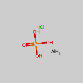 Cl.O=P(O)(O)O.[AlH3]